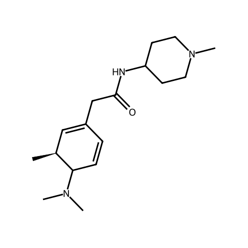 C[C@H]1C=C(CC(=O)NC2CCN(C)CC2)C=CC1N(C)C